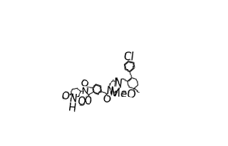 COC1(C)CCC(c2ccc(Cl)cc2)=C(CN2CCN(C(=O)c3ccc4c(c3)C(=O)N(C3CCC(=O)NC3=O)C4=O)CC2)C1